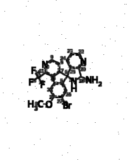 COc1ccc(C2(c3ccnc(C(F)(F)F)c3)NC(N)c3ncccc32)cc1Br